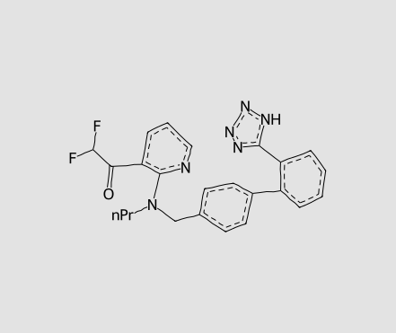 CCCN(Cc1ccc(-c2ccccc2-c2nnn[nH]2)cc1)c1ncccc1C(=O)C(F)F